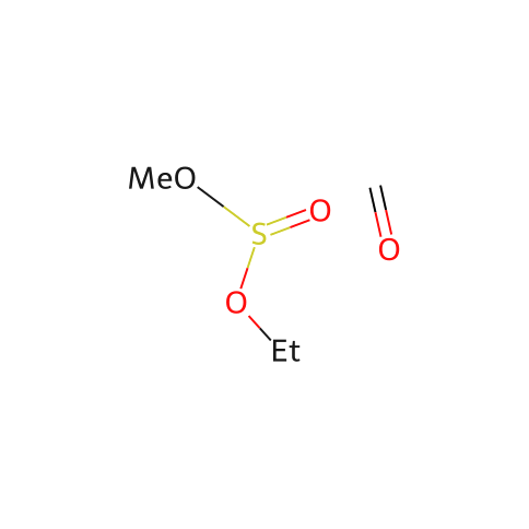 C=O.CCOS(=O)OC